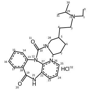 CCN(CCC1CCCN(C(=O)N2c3ccccc3C(=O)Nc3cccnc32)C1)C(C)C.Cl